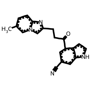 Cc1ccc2nc(CCC(=O)c3cc(C#N)cc4[nH]ccc34)cn2c1